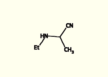 CCNC(C)C#N